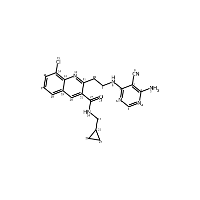 N#Cc1c(N)ncnc1NCCc1nc2c(Cl)cccc2cc1C(=O)NCC1CC1